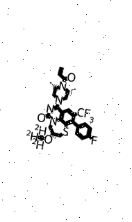 [2H]C([2H])([2H])O[C@@H]1CSc2c(-c3ccc(F)cc3)c(C(F)(F)F)cc3c(N4C[C@@H](C)N(C(=O)C=C)[C@@H](C)C4)nc(=O)n(c23)C1